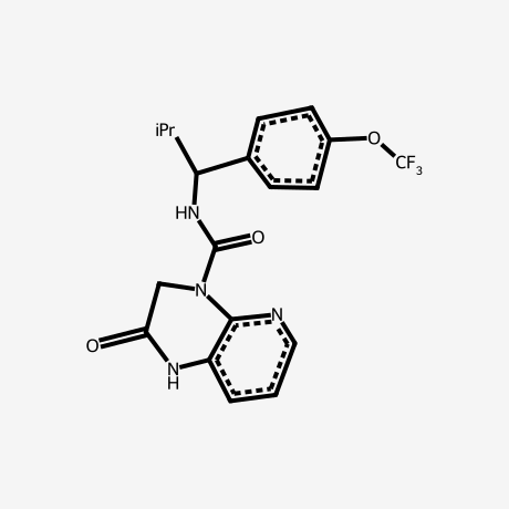 CC(C)C(NC(=O)N1CC(=O)Nc2cccnc21)c1ccc(OC(F)(F)F)cc1